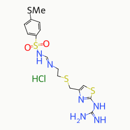 CSc1ccc(S(=O)(=O)NC=NCCSCc2csc(NC(=N)N)n2)cc1.Cl